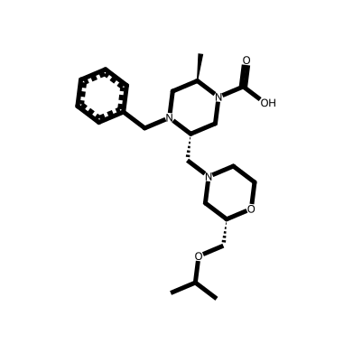 CC(C)OC[C@@H]1CN(C[C@H]2CN(C(=O)O)[C@H](C)CN2Cc2ccccc2)CCO1